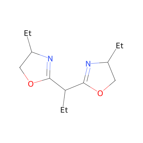 CCC1COC(C(CC)C2=NC(CC)CO2)=N1